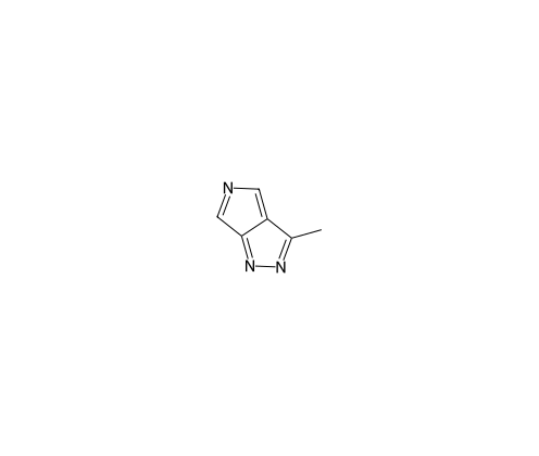 CC1=NN=C2C=NC=C12